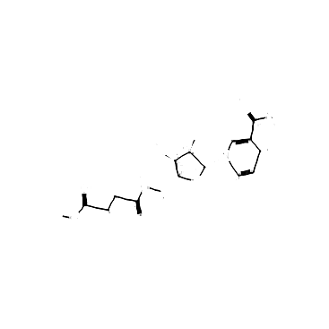 COC(=O)CCC(=O)OC[C@H]1O[C@@H](N2C=CCC(C(N)=O)=C2)[C@H](O)[C@@H]1O